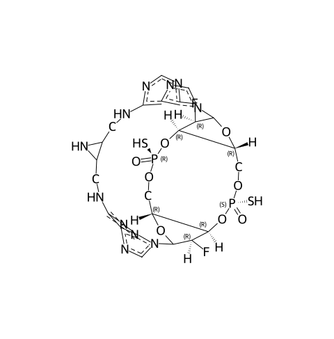 O=[P@]1(S)OC[C@H]2OC3[C@H](F)[C@@H]2O[P@](=O)(S)OC[C@H]2OC([C@H](F)[C@@H]2O1)n1cnc2c(ncnc21)NCC1NC1CNc1ncnc2c1ncn23